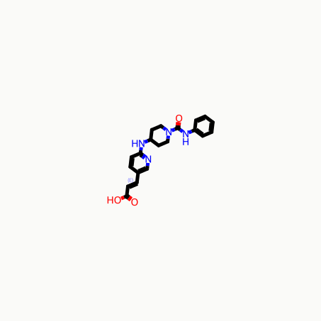 O=C(O)/C=C/c1ccc(NC2CCN(C(=O)Nc3ccccc3)CC2)nc1